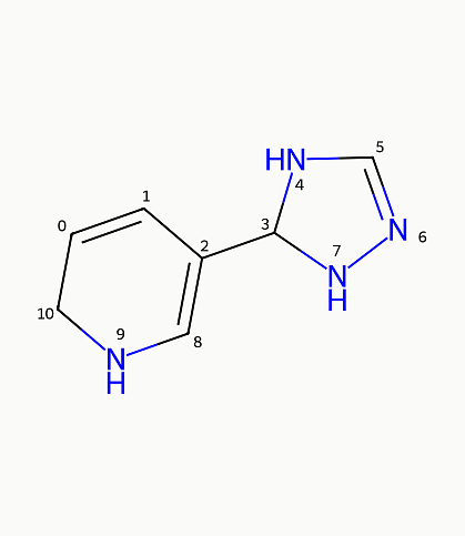 C1=CC(C2NC=NN2)=CNC1